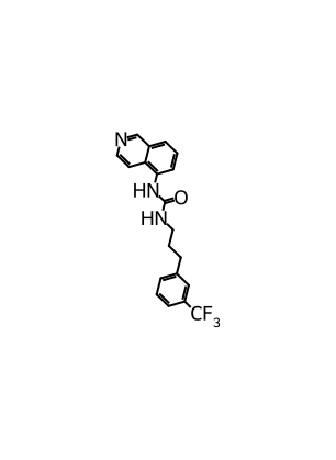 O=C(NCCCc1cccc(C(F)(F)F)c1)Nc1cccc2cnccc12